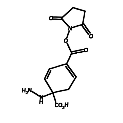 NNC1(C(=O)O)C=CC(C(=O)ON2C(=O)CCC2=O)=CC1